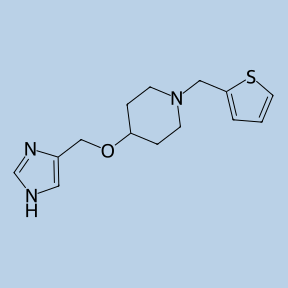 c1csc(CN2CCC(OCc3c[nH]cn3)CC2)c1